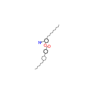 CCCCCCCCCc1ccc(OC(=O)c2ccc(C3CCC(CCCCCC)CC3)cc2)c(C#N)c1